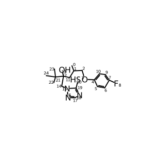 CC(COc1ccc(F)cc1)CC(O)(Cn1ncnc1S)C(C)(C)C